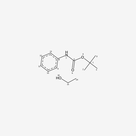 CC(C)(C)OC(=O)Nc1ccccc1.CCO